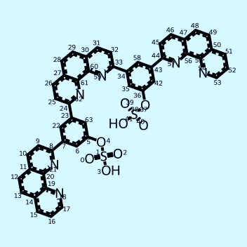 O=S(=O)(O)Oc1cc(-c2ccc3ccc4cccnc4c3n2)cc(-c2ccc3ccc4ccc(-c5cc(OS(=O)(=O)O)cc(-c6ccc7ccc8cccnc8c7n6)c5)nc4c3n2)c1